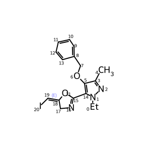 CCn1nc(C)c(OCc2ccccc2)c1C1=NC/C(=C\I)O1